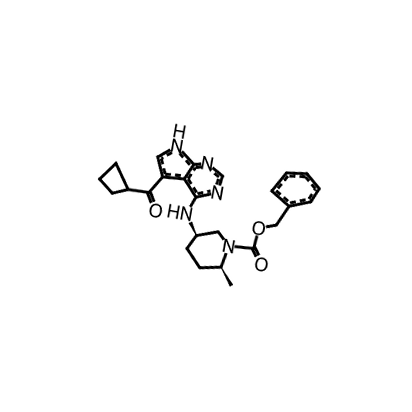 C[C@H]1CC[C@@H](Nc2ncnc3[nH]cc(C(=O)C4CCC4)c23)CN1C(=O)OCc1ccccc1